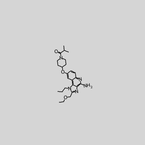 CCCn1c(COCC)nc2c(N)nc3ccc(OC4CCN(C(=O)C(C)C)CC4)cc3c21